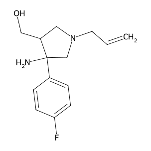 C=CCN1CC(CO)C(N)(c2ccc(F)cc2)C1